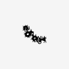 O=C(Nc1cc(-n2ccc3c(-n4cccn4)cccc32)ccn1)C1CC1